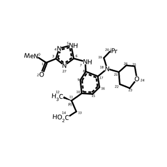 CNC(=O)c1n[nH]c(Nc2cc([C@H](C)CC(=O)O)ccc2N(CC(C)C)C2CCOCC2)n1